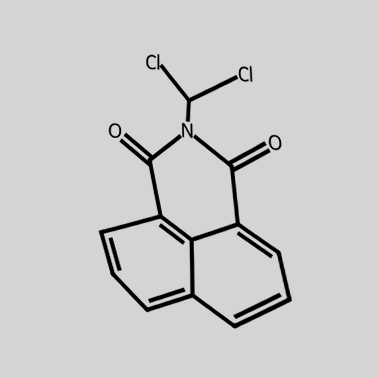 O=C1c2cccc3cccc(c23)C(=O)N1C(Cl)Cl